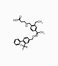 CCc1cc(/C(C)=N\OCc2ccc(-c3ccccc3)c(C(F)(F)F)c2)ccc1CNCCC(=O)O